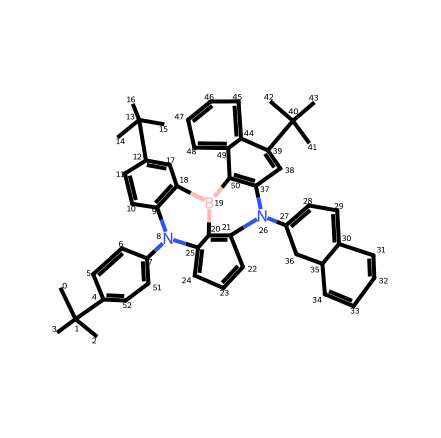 CC(C)(C)c1ccc(N2c3ccc(C(C)(C)C)cc3B3c4c(cccc42)N(C2=CC=C4C=CC=CC4C2)c2cc(C(C)(C)C)c4ccccc4c23)cc1